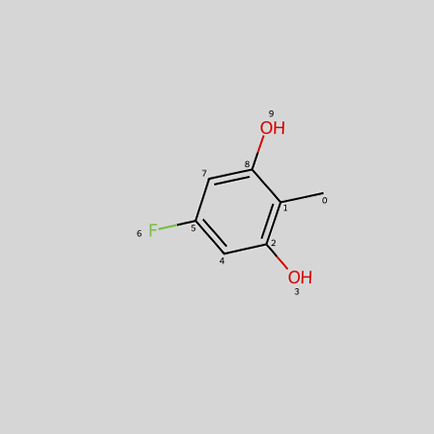 Cc1c(O)cc(F)cc1O